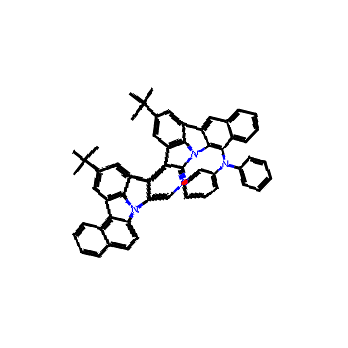 CC(C)(C)c1cc2c3c4ccccc4ccc3n3c4cnc5c(c6cc(C(C)(C)C)cc7c8cc9ccccc9c(N(c9ccccc9)c9ccccc9)c8n5c76)c4c(c1)c23